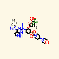 CCNc1nc(Nc2ccc(S(=O)(=O)N3CCC(N4CCOCC4)CC3)cc2OC)nc2[nH]ccc12.O=C(O)C(F)(F)F